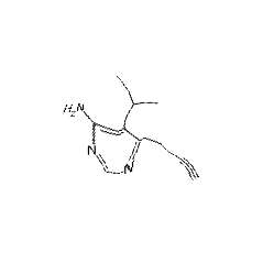 C#CCc1ncnc(N)c1C(C)C